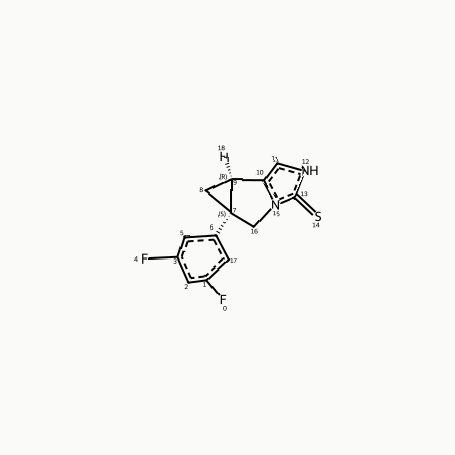 Fc1cc(F)cc([C@]23C[C@H]2c2c[nH]c(=S)n2C3)c1